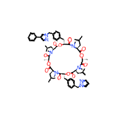 CC(C)C[C@H]1C(=O)O[C@H](Cc2ccc(Cn3cc(-c4ccccc4)cn3)cc2)C(=O)N(C)[C@@H](CC(C)C)C(=O)O[C@H](C)C(=O)N(C)[C@@H](CC(C)C)C(=O)O[C@H](Cc2ccc(Cn3cccn3)cc2)C(=O)N(C)[C@@H](CC(C)C)C(=O)O[C@H](C)C(=O)N1C